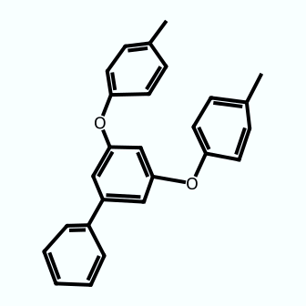 Cc1ccc(Oc2cc(Oc3ccc(C)cc3)cc(-c3ccccc3)c2)cc1